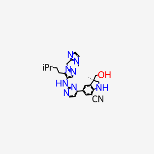 CC(C)CCc1c(Nc2nccc(-c3cc(C#N)c4c(c3)[C@@](C)(CO)CN4)n2)cnn1Cc1nccn1C